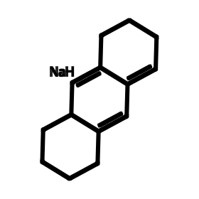 C1=C2C=C3CCCCC3C=C2CCC1.[NaH]